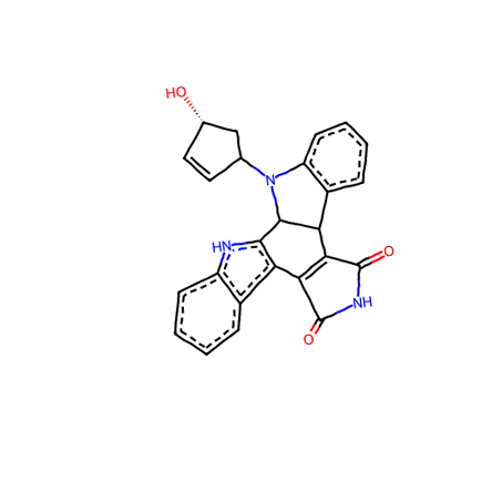 O=C1NC(=O)C2=C1c1c([nH]c3ccccc13)C1C2c2ccccc2N1C1C=C[C@H](O)C1